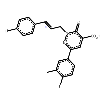 Cc1cc(-c2cc(C(=O)O)c(=O)n(C/C=C/c3ccc(Cl)cc3)n2)ccc1F